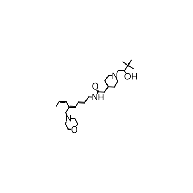 C\C=C/C(=C\C=C\CNC(=O)CC1CCN(CC(O)C(C)(C)C)CC1)CN1CCOCC1